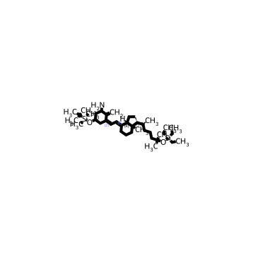 C=C1/C(=C\C=C2/CCCC3(C)[C@@H]([C@H](C)CCCC(C)(C)O[Si](CC)(CC)CC)CC[C@@H]23)CC(O[Si](C)(C)C(C)(C)C)CC1N